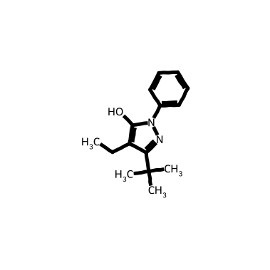 CCc1c(C(C)(C)C)nn(-c2ccccc2)c1O